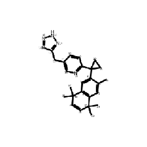 Cc1cc2c(cc1C1(c3ccc(Cc4nn[nH]n4)cn3)CC1)C(C)(C)C=CC2(C)C